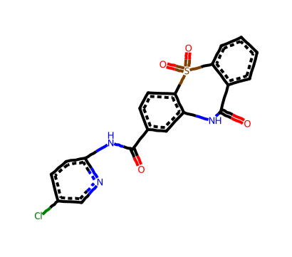 O=C(Nc1ccc(Cl)cn1)c1ccc2c(c1)NC(=O)c1ccccc1S2(=O)=O